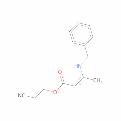 C/C(=C/C(=O)OCCC#N)NCc1ccccc1